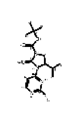 CC(C)C1CN(C(=O)OC(C)(C)C)C(=O)N1c1ccnc(Cl)n1